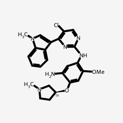 COc1cc(O[C@H]2CCN(C)C2)c(N)cc1Nc1ncc(Cl)c(-c2cn(C)c3ccccc23)n1